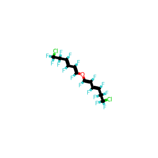 FC(OC(F)=C(F)C(F)=C(F)C(F)(F)C(F)(F)Cl)=C(F)C(F)=C(F)C(F)(F)C(F)(F)Cl